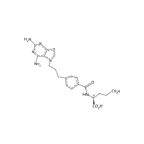 Nc1nc(N)c2c(ccn2CCCc2ccc(C(=O)N[C@@H](CCC(=O)O)C(=O)O)cc2)n1